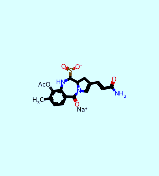 CC(=O)Oc1c(C)ccc2c1NC(S(=O)[O-])C1CC(C=CC(N)=O)=CN1C2=O.[Na+]